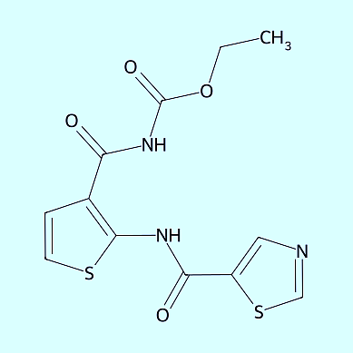 CCOC(=O)NC(=O)c1ccsc1NC(=O)c1cncs1